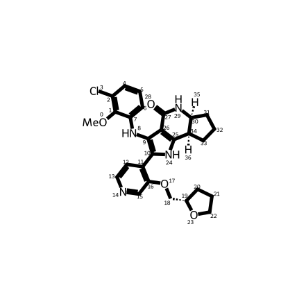 COc1c(Cl)cccc1Nc1c(-c2ccncc2OC[C@@H]2CCCO2)[nH]c2c1C(=O)N[C@H]1CCC[C@@H]21